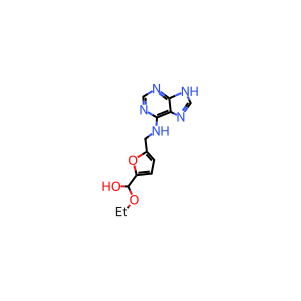 CCOC(O)c1ccc(CNc2ncnc3[nH]cnc23)o1